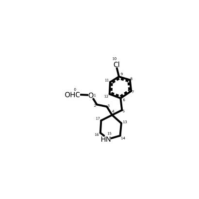 O=COCCC1(Cc2ccc(Cl)cc2)CCNCC1